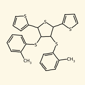 Cc1ccccc1SC1C(c2cccs2)SC(c2cccs2)C1Sc1ccccc1C